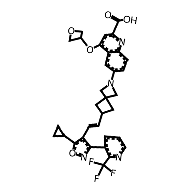 O=C(O)c1cc(OC2COC2)c2cc(N3CC4(CC(C=Cc5c(-c6cccnc6C(F)(F)F)noc5C5CC5)C4)C3)ccc2n1